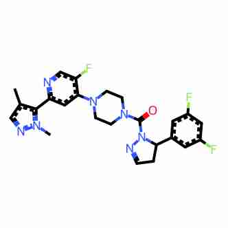 Cc1cnn(C)c1-c1cc(N2CCN(C(=O)N3N=CCC3c3cc(F)cc(F)c3)CC2)c(F)cn1